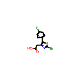 O=C(O)Cc1nc(Br)sc1-c1ccc(F)cc1